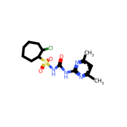 Cc1cc(C)nc(NC(=O)NS(=O)(=O)C2CCCCCC2Cl)n1